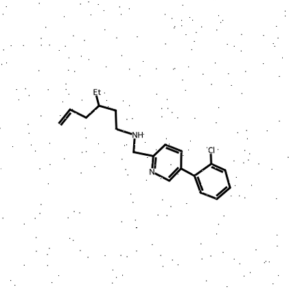 C=CCC(CC)CCNCc1ccc(-c2ccccc2Cl)cn1